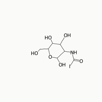 O=C(I)NC1C(O)OC(CO)C(O)C1O